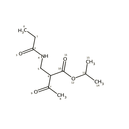 CCC(=O)NCC(C(C)=O)C(=O)OC(C)C